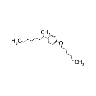 CCC[CH]CCC(C)c1ccc(OCCCCCC)cc1